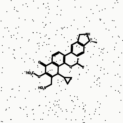 C[C@H]1NCc2cc(-c3ccc4c(=O)c(OC(=O)O)c(CS(=O)(=O)O)n(C5CC5)c4c3OC(F)F)ccc21